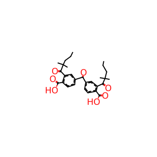 CCCC(C)(C)C(=O)c1cc(C(=O)c2ccc(C(=O)O)c(C(=O)C(C)(C)CCC)c2)ccc1C(=O)O